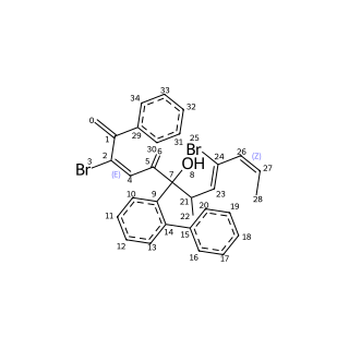 C=C(/C(Br)=C\C(=C)C(O)(c1ccccc1-c1ccccc1)C(C)C=C(Br)/C=C\C)c1ccccc1